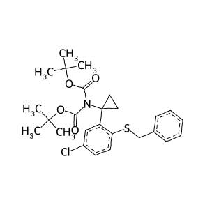 CC(C)(C)OC(=O)N(C(=O)OC(C)(C)C)C1(c2cc(Cl)ccc2SCc2ccccc2)CC1